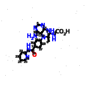 C=C1[C@H](NC(=O)O)Nc2ncnc(N)c2N1c1ccc(C(=O)Nc2ccccn2)cc1